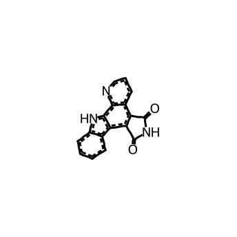 O=C1NC(=O)c2c1c1cccnc1c1[nH]c3ccccc3c21